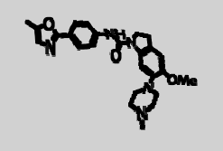 COc1cc2c(cc1N1CCN(C)CC1)N(C(=O)Nc1ccc(-c3ncc(C)o3)cc1)CC2